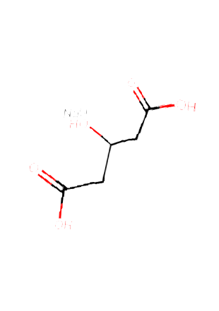 O=C(O)CC(O)CC(=O)O.[NaH]